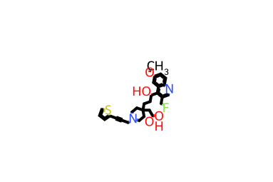 COc1ccc2ncc(CF)c(C(O)CCC3(CC(=O)O)CCN(CC#Cc4cccs4)CC3)c2c1